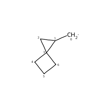 [CH2]C1CC12CCC2